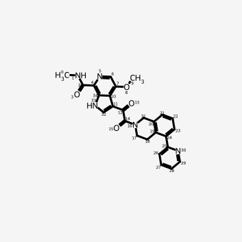 CNC(=O)c1ncc(OC)c2c(C(=O)C(=O)N3CCc4c(cccc4-c4ccccn4)C3)c[nH]c12